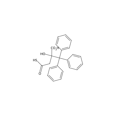 O=C(S)CC(O)(C(=O)O)C(c1ccccc1)(c1ccccc1)c1ccccc1